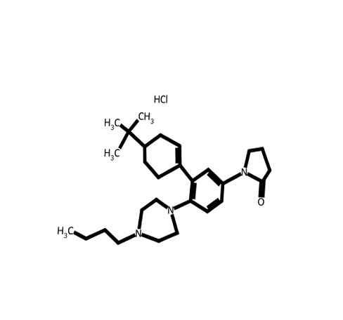 CCCCN1CCN(c2ccc(N3CCCC3=O)cc2C2=CCC(C(C)(C)C)CC2)CC1.Cl